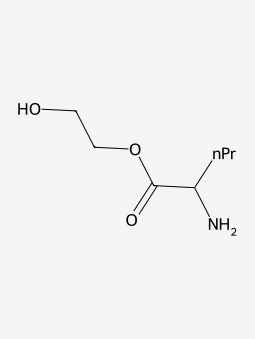 CCCC(N)C(=O)OCCO